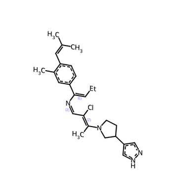 CC/C=C(/N=C\C(Cl)=C(/C)N1CCC(c2cn[nH]c2)C1)c1ccc(C=C(C)C)c(C)c1